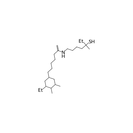 C=C(CCCCCC1CC(C)C(C)C(CC)C1)NCCCCC(C)(S)CC